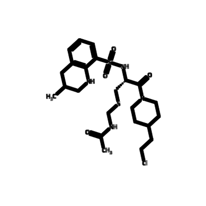 CC(=O)NCSC[C@H](NS(=O)(=O)c1cccc2c1NCC(C)C2)C(=O)N1CCC(CCCl)CC1